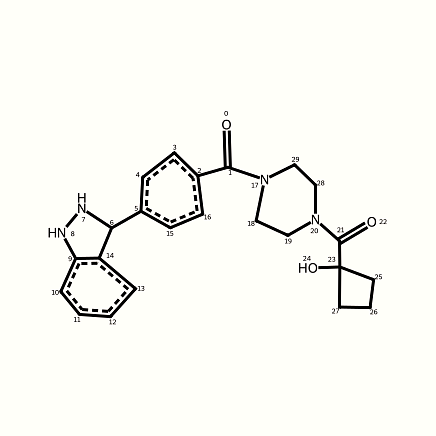 O=C(c1ccc(C2NNc3ccccc32)cc1)N1CCN(C(=O)C2(O)CCC2)CC1